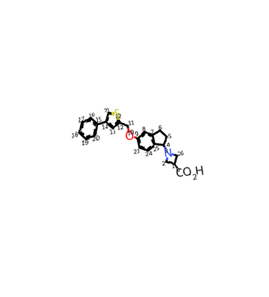 O=C(O)C1CN(C2CCc3cc(OCc4cc(-c5ccccc5)cs4)ccc32)C1